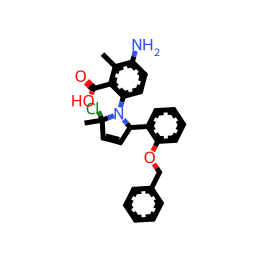 Cc1c(N)ccc(N2C(c3ccccc3OCc3ccccc3)C=CC2(C)Cl)c1C(=O)O